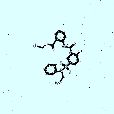 CCOC(=O)c1ccccc1NC(=O)c1cc(S(=O)(=O)N(CC)c2ccccc2)ccc1Cl